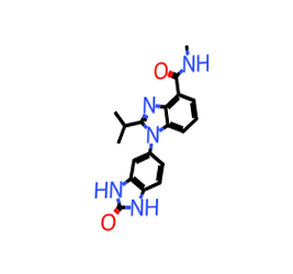 CNC(=O)c1cccc2c1nc(C(C)C)n2-c1ccc2[nH]c(=O)[nH]c2c1